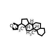 C[C@]12CCCCC1CC[C@@H]1[C@H]2CC[C@]2(C)C(c3ccoc3)CC[C@@H]12